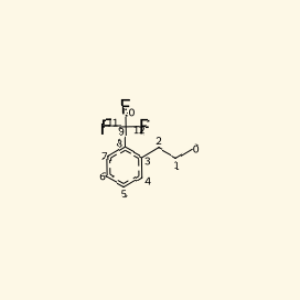 CCCc1ccccc1C(F)(F)F